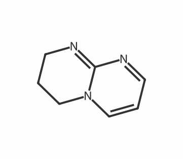 C1=CN2CCCN=C2N=C1